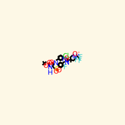 CC(C)(C)OC(=O)N[C@H]1CS(=O)(=O)c2cc(F)c(-c3noc(C4(C)CC[N+]([O-])(CC(F)(F)F)CC4)n3)cc2N(Cc2ccc(Cl)cc2)C1=O